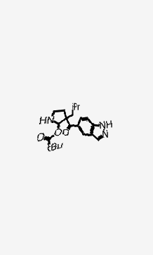 CC(C)CC1(C(=O)c2ccc3[nH]ncc3c2)CCNC1OC(=O)C(C)(C)C